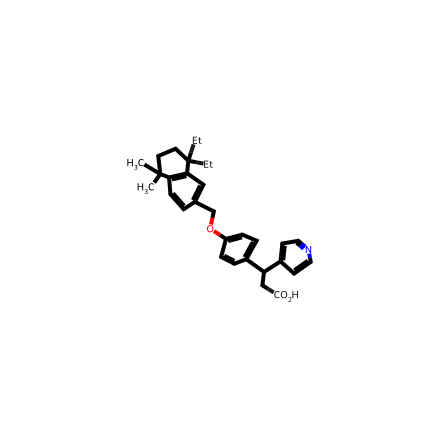 CCC1(CC)CCC(C)(C)c2ccc(COc3ccc(C(CC(=O)O)c4ccncc4)cc3)cc21